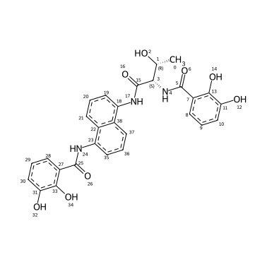 C[C@@H](O)[C@H](NC(=O)c1cccc(O)c1O)C(=O)Nc1cccc2c(NC(=O)c3cccc(O)c3O)cccc12